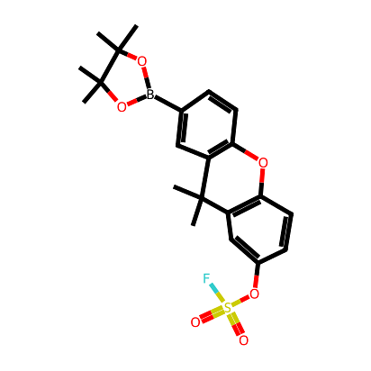 CC1(C)c2cc(OS(=O)(=O)F)ccc2Oc2ccc(B3OC(C)(C)C(C)(C)O3)cc21